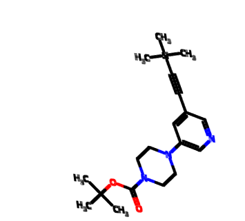 CC(C)(C)OC(=O)N1CCN(c2cncc(C#C[Si](C)(C)C)c2)CC1